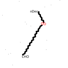 CCCCCCCCCCCCCCCCCC(=O)OCCCCCCCCCCCCCCCCCCCCCCC=O